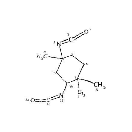 CC1(N=C=O)CCC(C)(C)C(N=C=O)C1